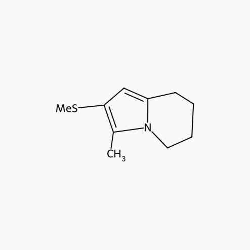 CSc1cc2n(c1C)CCCC2